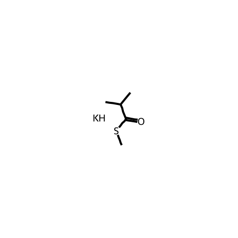 CSC(=O)C(C)C.[KH]